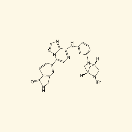 CC(C)N1C[C@@H]2C[C@H]1CN2c1cccc(Nc2ncc(-c3ccc4c(c3)CNC4=O)n3ncnc23)c1